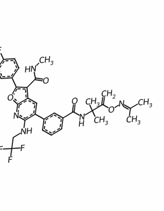 C=C(ON=C(C)C)C(C)(C)NC(=O)c1cccc(-c2cc3c(C(=O)NC)c(-c4ccc(F)cc4)oc3nc2NCC(F)(F)F)c1